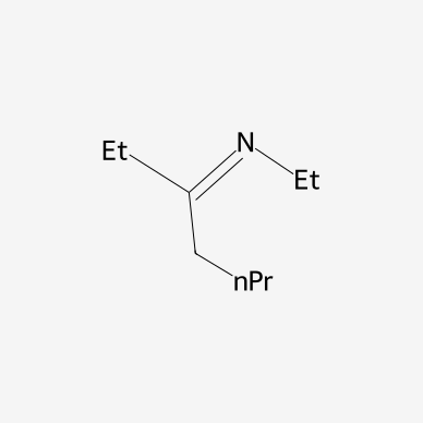 [CH2]CC(CCCC)=NCC